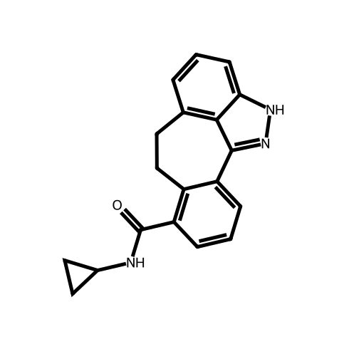 O=C(NC1CC1)c1cccc2c1CCc1cccc3[nH]nc-2c13